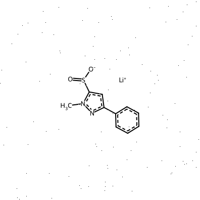 Cn1nc(-c2ccccc2)cc1S(=O)[O-].[Li+]